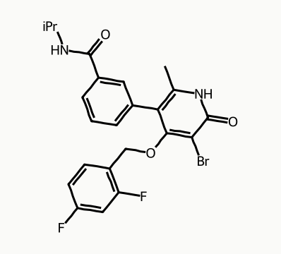 Cc1[nH]c(=O)c(Br)c(OCc2ccc(F)cc2F)c1-c1cccc(C(=O)NC(C)C)c1